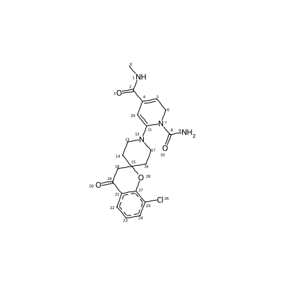 CNC(=O)C1=CCN(C(N)=O)C(N2CCC3(CC2)CC(=O)c2cccc(Cl)c2O3)=C1